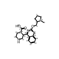 CN1CCCC1COc1nc(C2CNCCN2C(=O)O)c2ccccc2n1